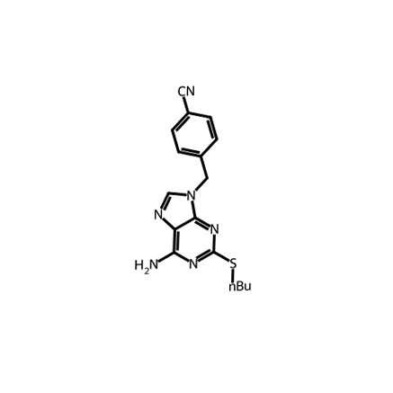 CCCCSc1nc(N)c2ncn(Cc3ccc(C#N)cc3)c2n1